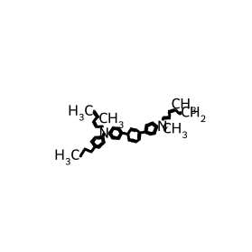 C=C/C(C)=C\C=C\N(C)c1ccc(C2=CC=CC(c3ccc(N(C/C=C\C(C)=C/C)c4ccc(CCCC)cc4)cc3)C=C2)cc1